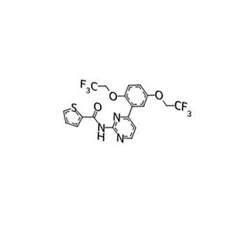 O=C(Nc1nccc(-c2cc(OCC(F)(F)F)ccc2OCC(F)(F)F)n1)c1cccs1